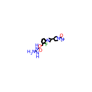 CN(C)C(=O)N1CCC(C2CN(c3cccc(COC(=O)NC(=N)N)c3F)C2)CC1